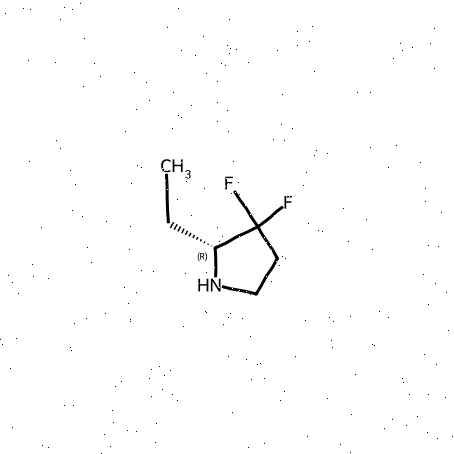 CC[C@H]1NCCC1(F)F